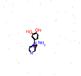 N.Oc1ccc(-c2nc3cncc4c2nc34)cc1O